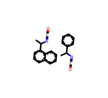 CC(N=C=O)c1cccc2ccccc12.CC(N=C=O)c1ccccc1